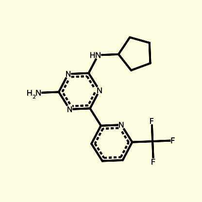 Nc1nc(NC2CCCC2)nc(-c2cccc(C(F)(F)F)n2)n1